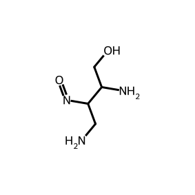 NCC(N=O)C(N)CO